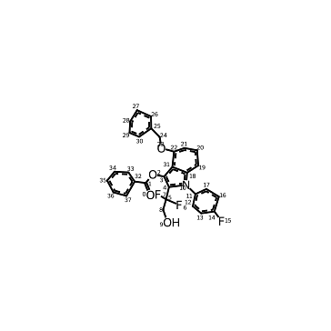 O=C(Oc1c(C(F)(F)CO)n(-c2ccc(F)cc2)c2cccc(OCc3ccccc3)c12)c1ccccc1